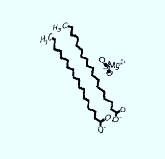 CCCCCCCCCCCCCCCCCC(=O)[O-].CCCCCCCCCCCCCCCCCC(=O)[O-].O=[Si]=O.[Mg+2]